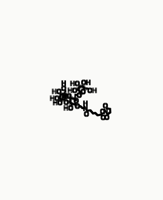 O=C(CCCCC(=O)ON1C(=O)CCC1=O)NCCO[C@H]1O[C@H](CO[C@H]2O[C@H](CO)[C@@H](O)[C@H](O)[C@@H]2O)[C@@H](O)[C@H](O[C@H]2O[C@H](CO)[C@@H](O)[C@H](O)[C@@H]2O)[C@@H]1O